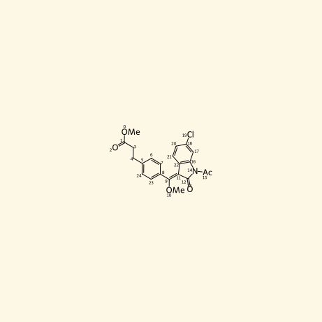 COC(=O)CCc1ccc(C(OC)=C2C(=O)N(C(C)=O)c3cc(Cl)ccc32)cc1